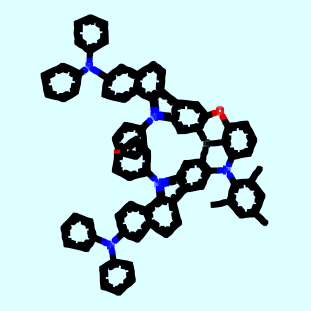 Cc1cc(C)c(N2c3cc4c5ccc6cc(N(c7ccccc7)c7ccccc7)ccc6c5n(-c5ccccc5)c4cc3B3c4cc5c(cc4Oc4cccc2c43)c2ccc3cc(N(c4ccccc4)c4ccccc4)ccc3c2n5-c2ccccc2)c(C)c1